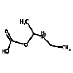 CC[SiH2]C(C)OC(=O)O